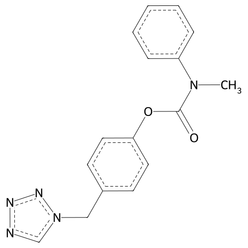 CN(C(=O)Oc1ccc(Cn2cnnn2)cc1)c1ccccc1